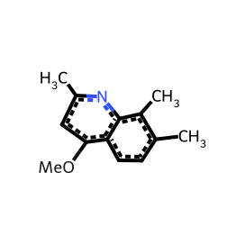 COc1cc(C)nc2c(C)c(C)ccc12